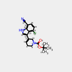 CC(C)(C)OC(=O)N1CCC=C(c2c[nH]c3c(C#N)ccc(F)c23)C1